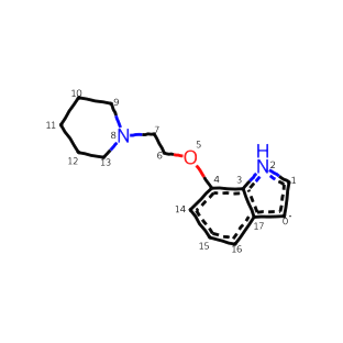 [c]1c[nH]c2c(OCCN3CCCCC3)cccc12